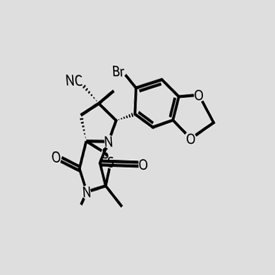 CN1C(=O)[C@@]23C[C@](C)(C#N)[C@H](c4cc5c(cc4Br)OCO5)N2C(=O)C1(C)SS3